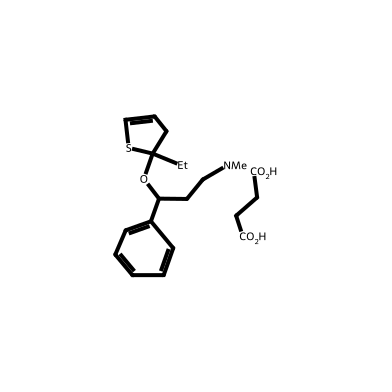 CCC1(OC(CCNC)c2ccccc2)CC=CS1.O=C(O)CCC(=O)O